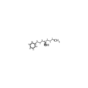 CCCC[SiH](O)CCCc1ccccc1